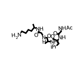 CC(=O)NCC(=O)NC(CC(C)C)C(=O)NC(C)C(=O)NCC(=O)NC(C)CCCCN